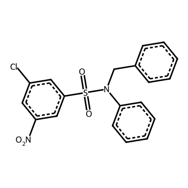 O=[N+]([O-])c1cc(Cl)cc(S(=O)(=O)N(Cc2ccccc2)c2ccccc2)c1